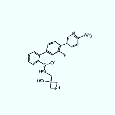 Nc1ccc(-c2ccc(-c3ccccc3[S+]([O-])NCC3(O)CNC3)cc2F)cn1